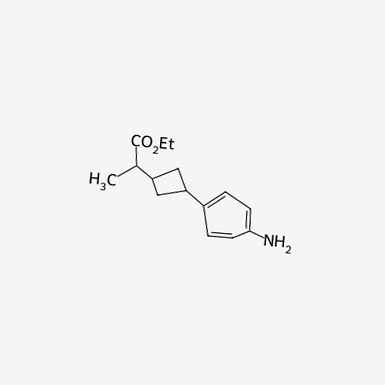 CCOC(=O)C(C)C1CC(c2ccc(N)cc2)C1